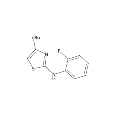 CCCCc1csc(Nc2ccccc2F)n1